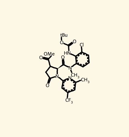 COC(=O)C1CC(=O)N(c2cc(C(F)(F)F)cc(C)n2)[C@@H]1C(=O)N(C)c1cccc(Cl)c1NC(=O)OC(C)(C)C